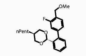 CCCCC[C@H]1CO[C@H](c2ccccc2-c2ccc(COC)c(F)c2)OC1